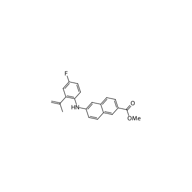 C=C(C)c1cc(F)ccc1Nc1ccc2cc(C(=O)OC)ccc2c1